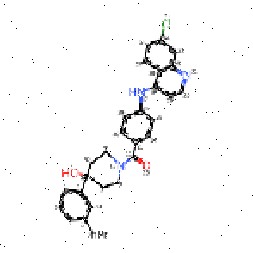 CCCc1cccc(C2(O)CCN(C(=O)c3ccc(Nc4ccnc5cc(Cl)ccc45)cc3)CC2)c1